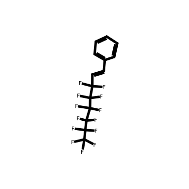 FC(F)(F)C(F)(F)C(F)(F)C(F)(F)C(F)(F)C(F)(F)C=Cc1cc[c]cc1